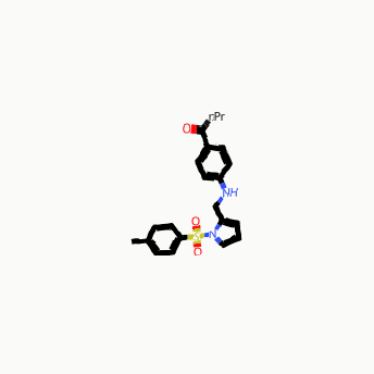 CCCC(=O)c1ccc(NCc2cccn2S(=O)(=O)c2ccc(C)cc2)cc1